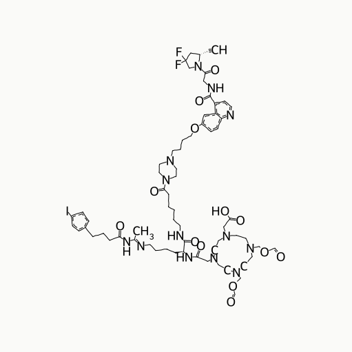 C#C[C@H]1CC(F)(F)CN1C(=O)CNC(=O)c1ccnc2ccc(OCCCCN3CCN(C(=O)CCCCCNC(=O)[C@H](CCCC/N=C(\C)NC(=O)CCCc4ccc(I)cc4)NC(=O)CN4CCN(COC=O)CCN(COC=O)CCN(CC(=O)O)CC4)CC3)cc12